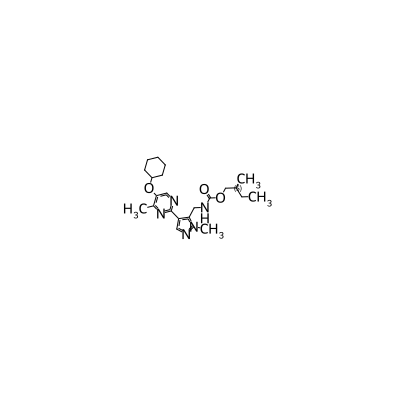 CC[C@H](C)COC(=O)NCc1c(-c2ncc(OC3CCCCC3)c(C)n2)cnn1C